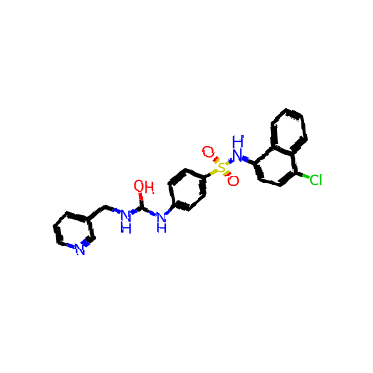 O=S(=O)(Nc1ccc(Cl)c2ccccc12)c1ccc(NC(O)NCc2cccnc2)cc1